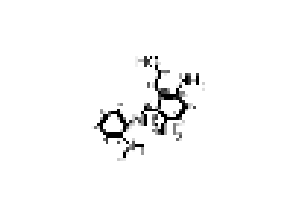 CN(C)c1ccccc1NCc1c(N)ccc(N)c1CCO